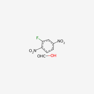 O=CO.O=[N+]([O-])c1ccc([N+](=O)[O-])c(F)c1